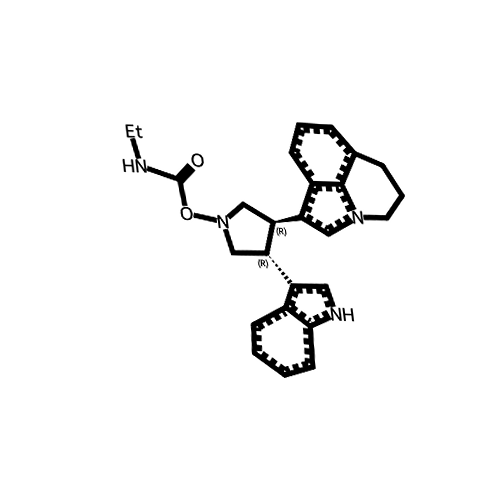 CCNC(=O)ON1C[C@@H](c2c[nH]c3ccccc23)[C@H](c2cn3c4c(cccc24)CCC3)C1